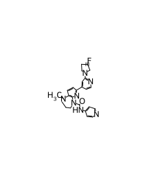 CN1CCCN(C(=O)Nc2ccncc2)c2nc(-c3ccnc(N4CC[C@H](F)C4)c3)ccc21